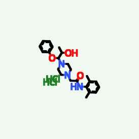 Cc1cccc(C)c1NC(=O)CN1CCN(C(Oc2ccccc2)C(C)O)CC1.Cl.Cl